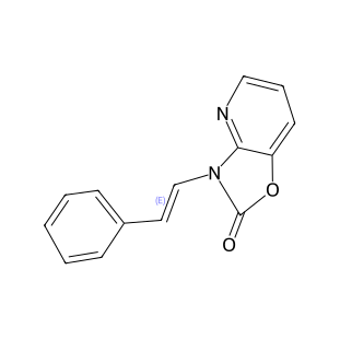 O=c1oc2cccnc2n1/C=C/c1ccccc1